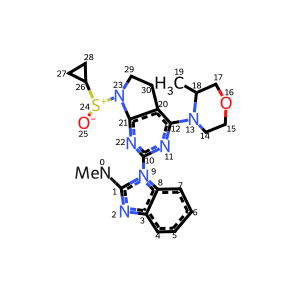 CNc1nc2ccccc2n1-c1nc(N2CCOCC2C)c2c(n1)N([S+]([O-])C1CC1)CC2